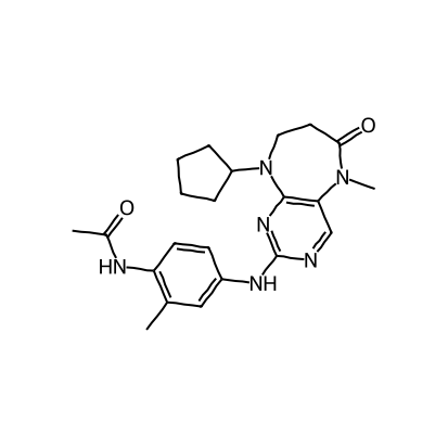 CC(=O)Nc1ccc(Nc2ncc3c(n2)N(C2CCCC2)CCC(=O)N3C)cc1C